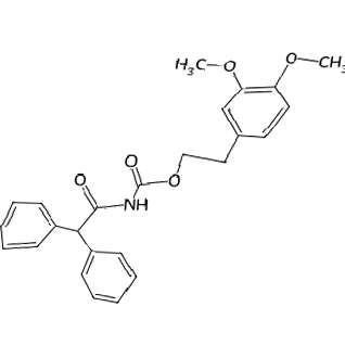 COc1ccc(CCOC(=O)NC(=O)C(c2ccccc2)c2ccccc2)cc1OC